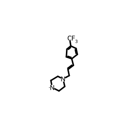 FC(F)(F)c1ccc(C=CCN2CC[N]CC2)cc1